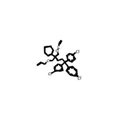 C=CCOCC(CCC(c1ccc(Cl)cc1)(c1ccc(Cl)cc1)c1ccc(Cl)cc1)(COCC=C)C1CCCCC1